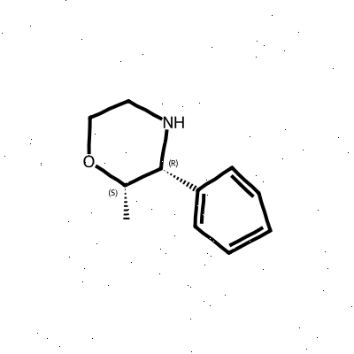 C[C@@H]1OCCN[C@@H]1c1ccccc1